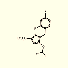 CCOC(=O)c1cc(OC(F)F)n(Cc2ccc(F)cc2F)n1